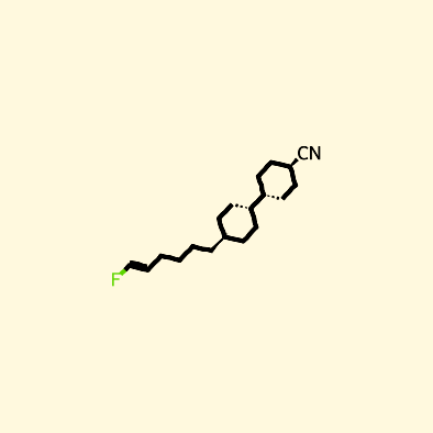 N#C[C@H]1CC[C@H]([C@H]2CC[C@H](CCCCC=CF)CC2)CC1